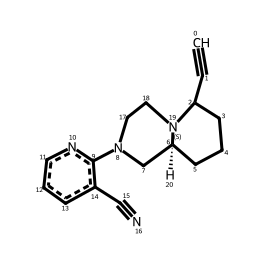 C#CC1CCC[C@H]2CN(c3ncccc3C#N)CCN12